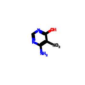 Nc1ncnc(O)c1[N+](=O)[O-]